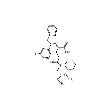 COC(CN(C(=O)CCN(CC(Cc1ccccc1)c1cccc(F)c1)C(=O)O)C1CCCCC1)OC